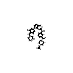 O=C(c1cccc(Nc2ncc3ccn(-c4cc(F)c(CN5CCOCC5)c(F)c4)c3n2)c1)N1CCN(C2CC2)CC1